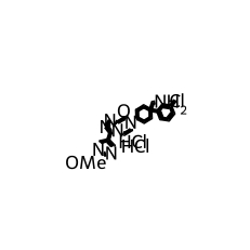 COc1ncc(-c2nnc3n2CCN(C2CCC(CN)(c4cccc(Cl)c4)CC2)C3=O)cn1.Cl.Cl